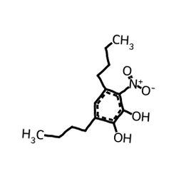 CCCCc1cc(CCCC)c([N+](=O)[O-])c(O)c1O